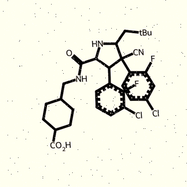 CC(C)(C)CC1NC(C(=O)NCC2CCC(C(=O)O)CC2)C(c2cccc(Cl)c2F)C1(C#N)c1ccc(Cl)cc1F